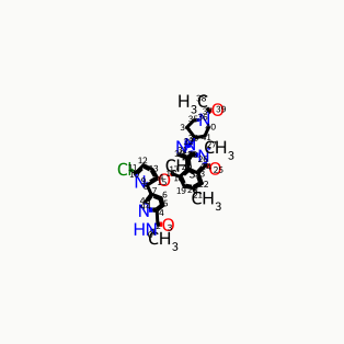 CNC(=O)c1ccc(-c2nc(Cl)ccc2OC(C)c2cc(C)cc3c(=O)n(C)c4c(cnn4C4CCN(C(C)=O)CC4)c23)cn1